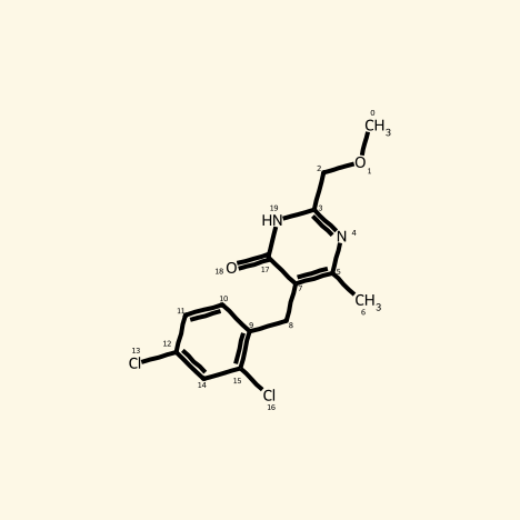 COCc1nc(C)c(Cc2ccc(Cl)cc2Cl)c(=O)[nH]1